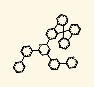 C1=C(c2cccc(-c3cccnc3)c2)N=C(c2cccc(-c3ccccc3)c2)NC1c1ccc2c(c1)C1(c3ccccc3-c3ccccc31)c1ccccc1-2